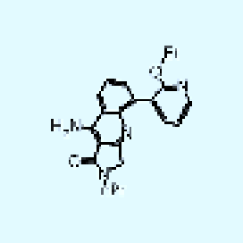 CCCN1Cc2nc3c(-c4cccnc4OCC)cccc3c(N)c2C1=O